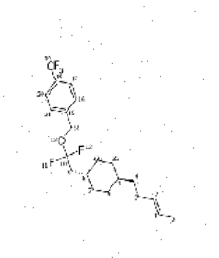 C/C=C/CC[C@H]1CC[C@H](CC(F)(F)OCc2ccc(C(F)(F)F)cc2)CC1